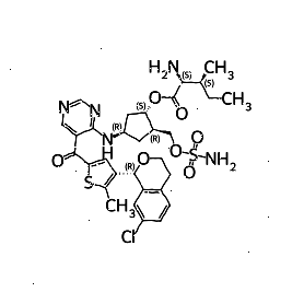 CC[C@H](C)[C@H](N)C(=O)O[C@H]1C[C@H](Nc2ncncc2C(=O)c2cc([C@@H]3OCCc4ccc(Cl)cc43)c(C)s2)C[C@@H]1COS(N)(=O)=O